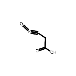 O=P#CCC(=O)O